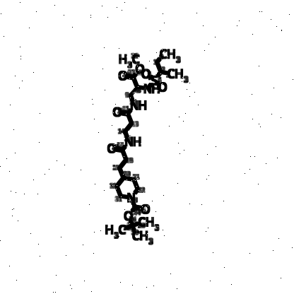 CCC(C)S(=O)(=O)N[C@@H](CNC(=O)CCNC(=O)CCC1CCN(C(=O)OC(C)(C)C)CC1)C(=O)OC